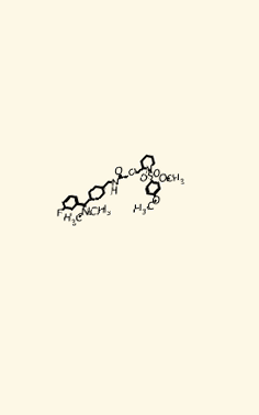 COc1ccc(S(=O)(=O)N2CCCCC2COCC(=O)NCC2CCC(C(c3cccc(F)c3)N(C)C)CC2)c(OC)c1